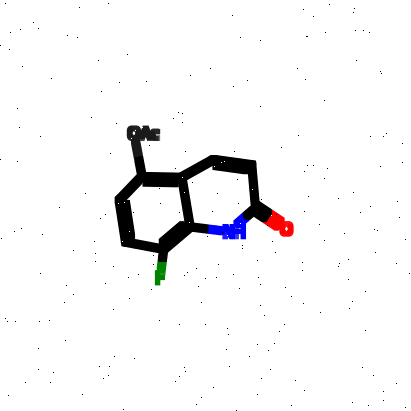 CC(=O)Oc1ccc(F)c2[nH]c(=O)ccc12